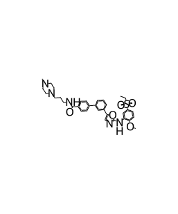 CCS(=O)(=O)c1ccc(OC)c(Nc2ncc(-c3cccc(-c4ccc(C(=O)NCCCN5CCN(C)CC5)cc4)c3)o2)c1